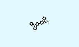 C1=CC2NC3C=CC(C4=CC=C5C(C4)C4C=CC=CC4N5c4ccccc4)=CC3C2C=C1